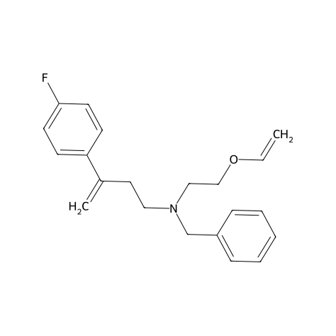 C=COCCN(CCC(=C)c1ccc(F)cc1)Cc1ccccc1